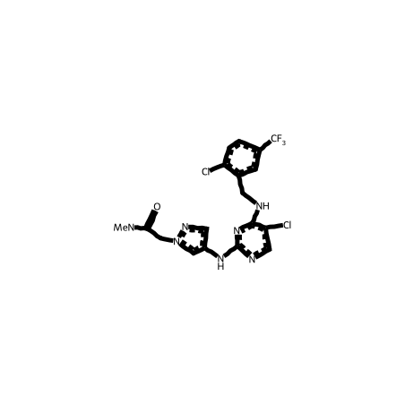 CNC(=O)Cn1cc(Nc2ncc(Cl)c(NCc3cc(C(F)(F)F)ccc3Cl)n2)cn1